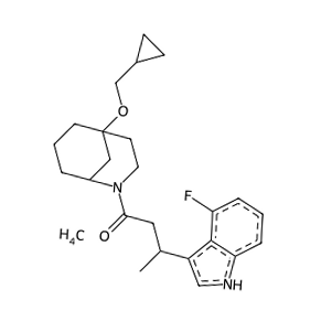 C.CC(CC(=O)N1CCC2(OCC3CC3)CCCC1C2)c1c[nH]c2cccc(F)c12